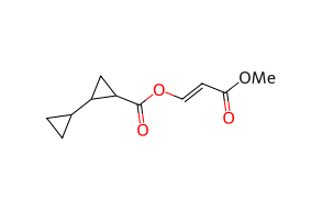 COC(=O)C=COC(=O)C1CC1C1CC1